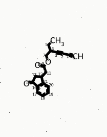 C#CC#CC(CC)COC(=O)CC1CC(=O)c2ccccc21